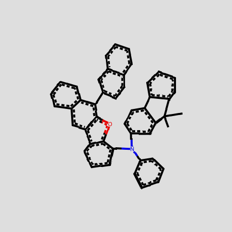 CC1(C)c2ccccc2-c2ccc(N(c3ccccc3)c3cccc4c3oc3c(-c5ccc6ccccc6c5)c5ccccc5cc34)cc21